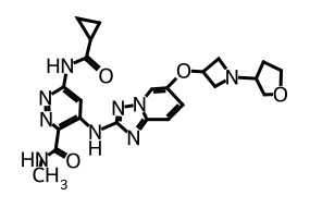 CNC(=O)c1nnc(NC(=O)C2CC2)cc1Nc1nc2ccc(OC3CN(C4CCOC4)C3)cn2n1